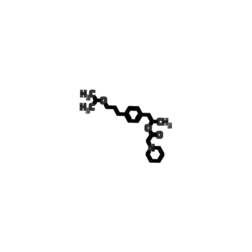 CC(C)OCCCc1ccc(CC(C)OC(=O)CN2CCCCC2)cc1